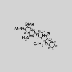 COc1cc2nc(N3CCN(C(=O)C4COc5ccccc5O4)CC3)nc(N)c2cc1OC.[CaH2]